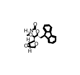 COC([C@H]1OC[C@H]2O[C@@H]12)[C@@H](CC1c2ccccc2-c2ccccc21)OC(N)=O